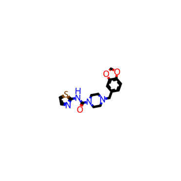 O=C(Nc1nccs1)N1CCN(Cc2ccc3c(c2)OCO3)CC1